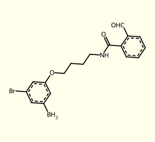 Bc1cc(Br)cc(OCCCCNC(=O)c2ccccc2C=O)c1